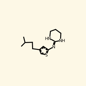 CC(C)CCc1csc(N=C2NCCCN2)c1